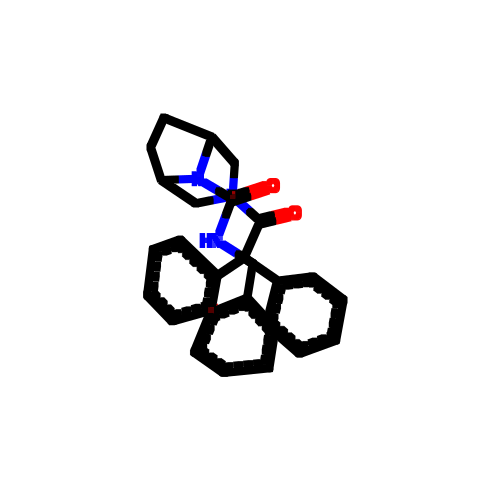 O=C(C(c1ccccc1)c1ccccc1)N1CC2CCC(C1)N2C(=O)NCc1ccccc1